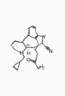 N#CC1=Nc2cccc3c2C1(CCC(N)=O)C[C@@H]1C3CCCN1CC1CC1